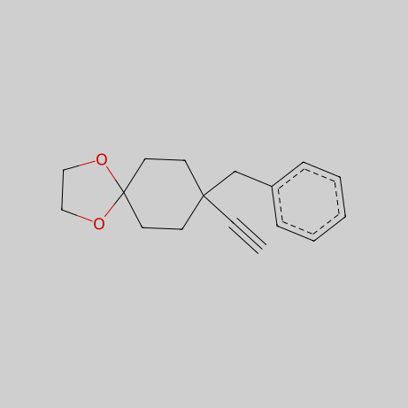 C#CC1(Cc2ccccc2)CCC2(CC1)OCCO2